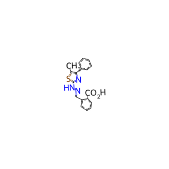 Cc1sc(NN=Cc2ccccc2C(=O)O)nc1-c1ccccc1